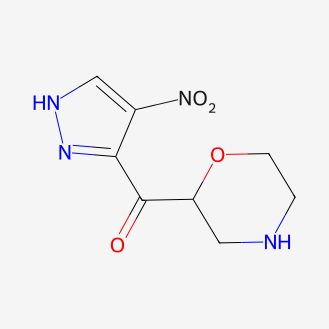 O=C(c1n[nH]cc1[N+](=O)[O-])C1CNCCO1